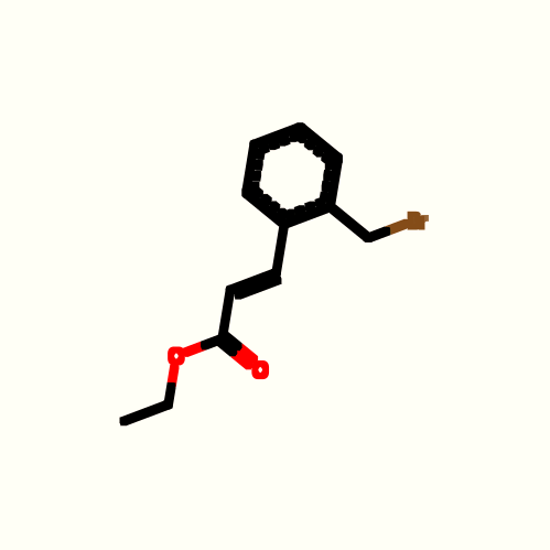 CCOC(=O)C=Cc1ccccc1CBr